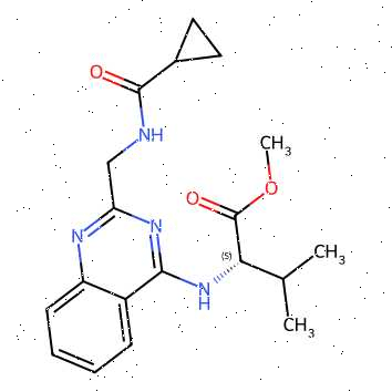 COC(=O)[C@@H](Nc1nc(CNC(=O)C2CC2)nc2ccccc12)C(C)C